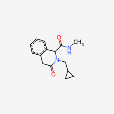 CNC(=O)C1c2ccccc2CC(=O)N1CC1CC1